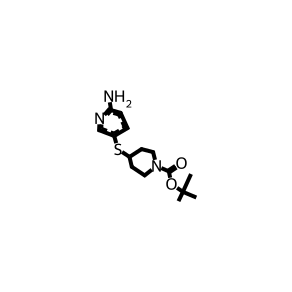 CC(C)(C)OC(=O)N1CCC(Sc2ccc(N)nc2)CC1